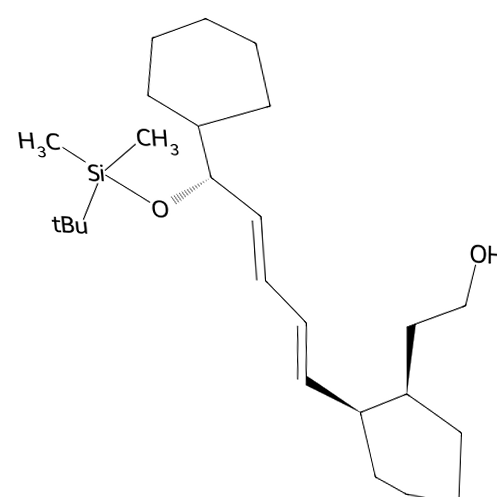 CC(C)(C)[Si](C)(C)O[C@@H](/C=C/C=C/[C@@H]1CCCC[C@@H]1CCO)C1CCCCC1